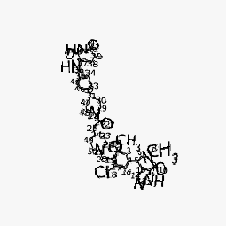 COc1cc(-c2cn(C)c(=O)c3[nH]ncc23)cc(Cl)c1CN1CCC(CC(=O)N2CCC(c3ccc(NC4CCC(=O)NC4=O)cc3)CC2)CC1